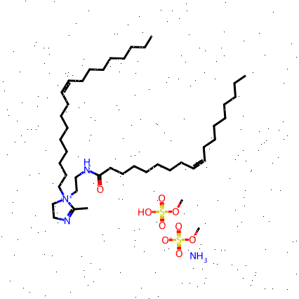 CCCCCCCC/C=C\CCCCCCCC[N+]1(CCNC(=O)CCCCCCC/C=C\CCCCCCCC)CCN=C1C.COS(=O)(=O)O.COS(=O)(=O)[O-].N